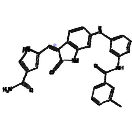 Cc1cccc(C(=O)Nc2cccc(Nc3ccc4c(c3)NC(=O)/C4=C\c3cc(C(N)=O)c[nH]3)c2)c1